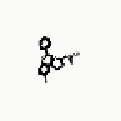 O=C(O)NC1=NCCC2(CC(c3ccccc3)Oc3ccc(Br)cc32)S1